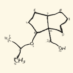 CC(C)OC1CCC2CCCC21CO